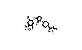 CS(=O)(=O)c1cc(F)c(O[C@@H]2CCN(C3CCN(/C(N)=N/O)CC3)C2=O)cc1F